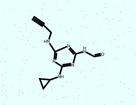 C#CCNc1nc(NC=O)nc(NC2CC2)n1